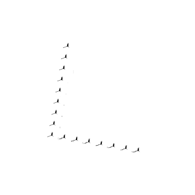 CC(=O)O.CC(=O)O.CC(=O)O.CC(=O)O.CC(=O)O.CC(=O)O.CC(=O)O.CC(=O)O.CC(=O)O.CC(=O)O.CC(=O)O.CC(=O)O.CC(=O)O.CC(=O)O.CC(=O)O.CC(=O)O